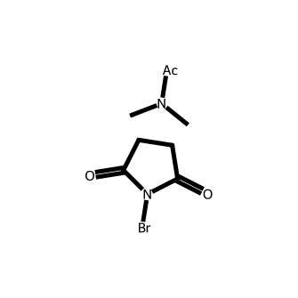 CC(=O)N(C)C.O=C1CCC(=O)N1Br